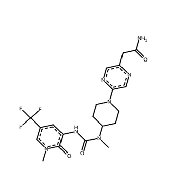 CN(C(=O)Nc1cc(C(F)(F)F)cn(C)c1=O)C1CCN(c2cnc(CC(N)=O)cn2)CC1